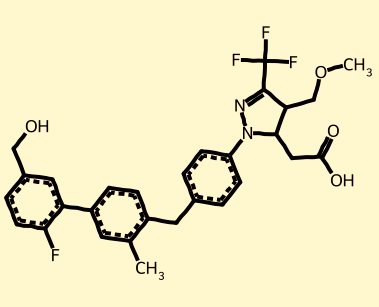 COCC1C(C(F)(F)F)=NN(c2ccc(Cc3ccc(-c4cc(CO)ccc4F)cc3C)cc2)C1CC(=O)O